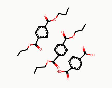 CCCOC(=O)c1ccc(C(=O)OCCC)cc1.CCCOC(=O)c1ccc(C(=O)OCCC)cc1.O=C(O)c1ccc(C(=O)O)cc1